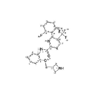 O=C(Nc1cnccc1OCC1CNC1)c1ccc(C(F)(F)F)c(-c2c(F)cccc2F)n1